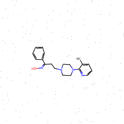 N#Cc1cccnc1N1CCN(CCC(=NO)c2ccccc2)CC1